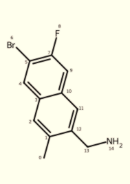 Cc1cc2cc(Br)c(F)cc2cc1CN